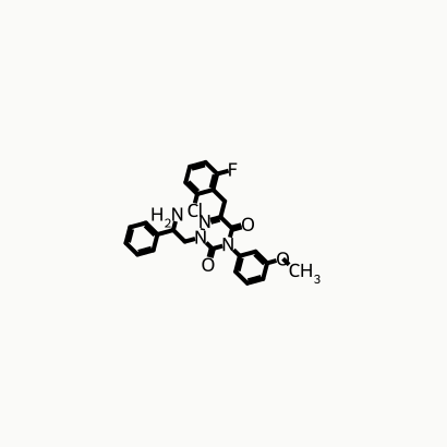 COc1cccc(-n2c(=O)c(Cc3c(F)cccc3Cl)nn(CC(N)c3ccccc3)c2=O)c1